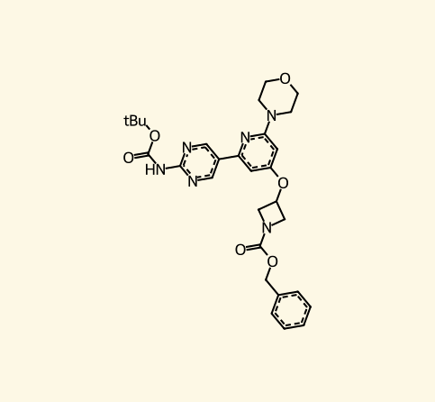 CC(C)(C)OC(=O)Nc1ncc(-c2cc(OC3CN(C(=O)OCc4ccccc4)C3)cc(N3CCOCC3)n2)cn1